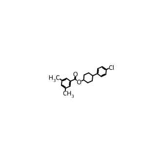 Cc1cc(C)cc(C(=O)OC2CCC(c3ccc(Cl)cc3)CC2)c1